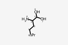 CCCCCC(N)C(O)O